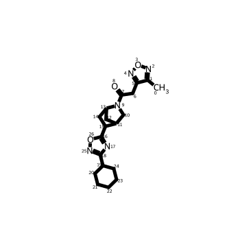 Cc1nonc1CC(=O)N1CC2CC1CC2c1nc(C2CCCCC2)no1